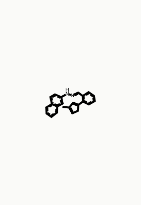 CC1=CCC(c2ccccc2C=NNc2ccc3ccccc3c2)=C1